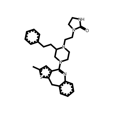 Cc1cc2c(s1)Cc1ccccc1N=C2N1CCN(CCN2CCNC2=O)C(CCc2ccccc2)C1